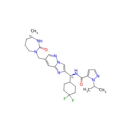 CC(C)n1nccc1C(=O)N[C@H](c1cn2ncc(CN3CCC[C@H](C)NC3=O)cc2n1)C1CCC(F)(F)CC1